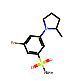 CNS(=O)(=O)c1cc(Br)cc(N2CCCC2C)c1